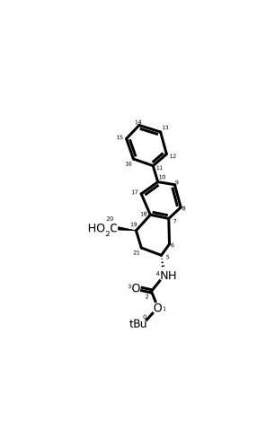 CC(C)(C)OC(=O)N[C@H]1Cc2ccc(-c3ccccc3)cc2[C@H](C(=O)O)C1